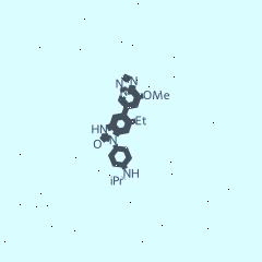 CCc1cc2c(cc1-c1cc(OC)c3ncnn3c1)[nH]c(=O)n2C1CCC(NC(C)C)CC1